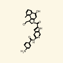 Cc1cccc2c(O)cc3c(c12)C(CCl)CN3C(=O)c1cc2cc(NC(=O)c3ccc(N)cc3)ncc2[nH]1